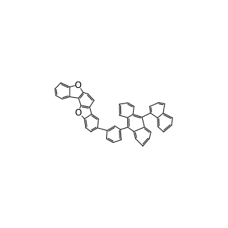 c1cc(-c2ccc3oc4c(ccc5oc6ccccc6c54)c3c2)cc(-c2c3ccccc3c(-c3cccc4ccccc34)c3ccccc23)c1